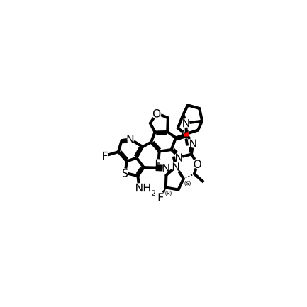 CC(Oc1nc(N2C3CCC2CN(C)C3)c2c3c(c(-c4ncc(F)c5sc(N)c(C#N)c45)c(F)c2n1)COC3)[C@@H]1C[C@@H](F)CN1C